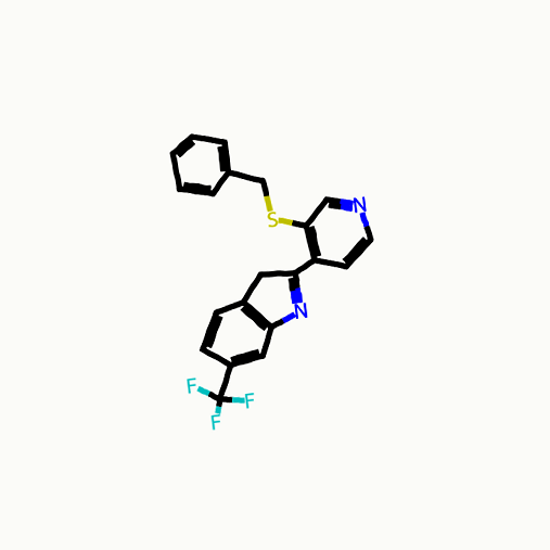 FC(F)(F)c1ccc2c(c1)N=C(c1ccncc1SCc1ccccc1)C2